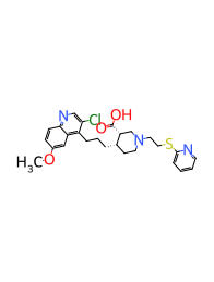 COc1ccc2ncc(Cl)c(CCC[C@H]3CCN(CCSc4ccccn4)C[C@H]3C(=O)O)c2c1